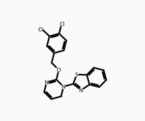 Clc1ccc(COC2=NC=C[CH]N2c2nc3ccccc3s2)cc1Cl